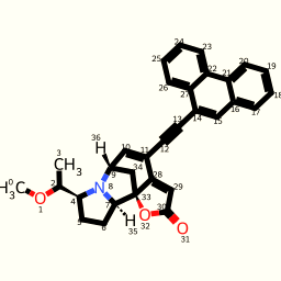 COC(C)[C@@H]1CC[C@H]2N1[C@@H]1C=C(C#Cc3cc4ccccc4c4ccccc34)C3=CC(=O)O[C@@]32C1